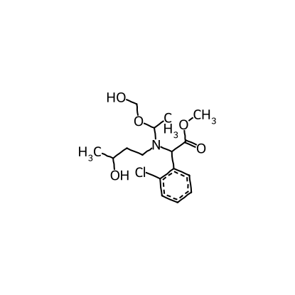 COC(=O)C(c1ccccc1Cl)N(CCC(C)O)C(C)OCO